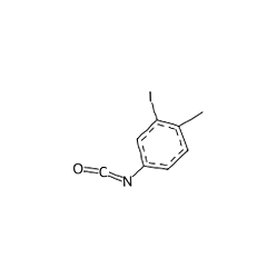 Cc1ccc(N=C=O)cc1I